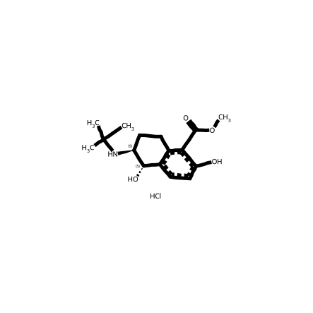 COC(=O)c1c(O)ccc2c1CC[C@H](NC(C)(C)C)[C@H]2O.Cl